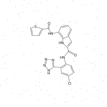 O=C(Nc1ccc(Cl)cc1-c1nnn[nH]1)c1cc2cccc(NC(=O)c3cccs3)c2[nH]1